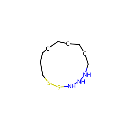 C1CCCCNNNSSCCCC1